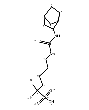 O=C(NC1CC2CCC1C2)OCCCCC(F)(F)S(=O)(=O)O